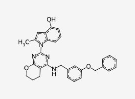 Cc1cc2c(O)cccc2n1-c1nc(NCc2cccc(OCc3ccccc3)c2)c2c(n1)OCCC2